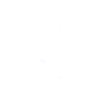 O=C(c1cccc(I)c1)N1CCCCC1